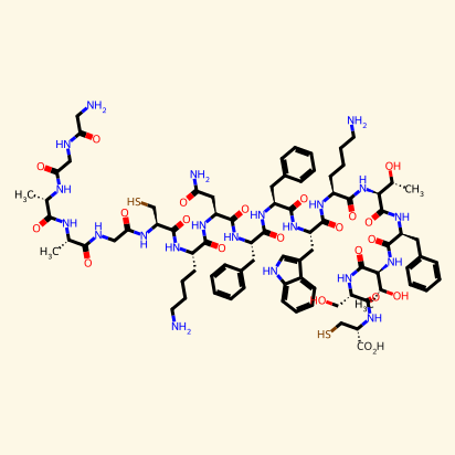 C[C@H](NC(=O)CNC(=O)CN)C(=O)N[C@@H](C)C(=O)NCC(=O)N[C@@H](CS)C(=O)N[C@@H](CCCCN)C(=O)N[C@@H](CC(N)=O)C(=O)N[C@@H](Cc1ccccc1)C(=O)N[C@@H](Cc1ccccc1)C(=O)N[C@@H](Cc1c[nH]c2ccccc12)C(=O)N[C@@H](CCCCN)C(=O)N[C@H](C(=O)N[C@@H](Cc1ccccc1)C(=O)N[C@H](C(=O)N[C@@H](CO)C(=O)N[C@@H](CS)C(=O)O)[C@@H](C)O)[C@@H](C)O